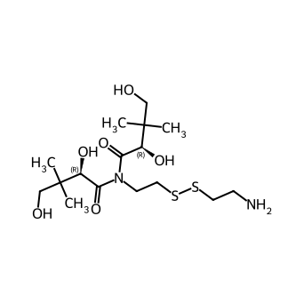 CC(C)(CO)[C@@H](O)C(=O)N(CCSSCCN)C(=O)[C@H](O)C(C)(C)CO